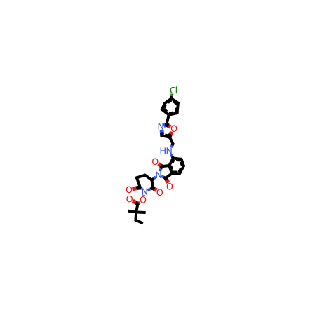 CCC(C)(C)C(=O)ON1C(=O)CCC(N2C(=O)c3cccc(NCc4cnc(-c5ccc(Cl)cc5)o4)c3C2=O)C1=O